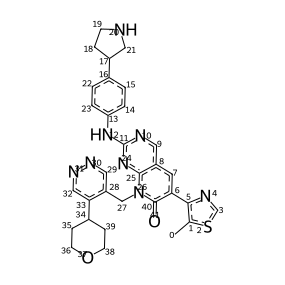 Cc1scnc1-c1cc2cnc(Nc3ccc(C4CCNC4)cc3)nc2n(Cc2cnncc2C2CCOCC2)c1=O